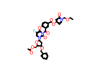 CCOCn1ccc(OC(=O)c2cccc(C(=O)n3c(=O)c(F)cn([C@H]4C[C@H](OCc5ccccc5)[C@@H](COC(C)=O)O4)c3=O)c2)cc1=O